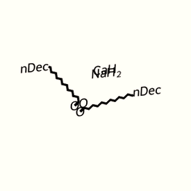 CCCCCCCCCCCCCCCCCCCCCC(=O)OC(=O)CCCCCCCCCCCCCCCCCCCCC.[CaH2].[NaH]